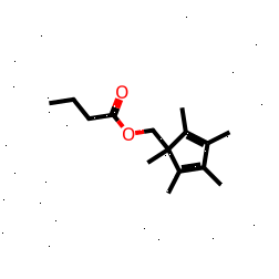 CCCC(=O)OCC1(C)C(C)=C(C)C(C)=C1C